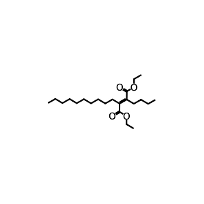 CCCCCCCCCCC(C(=O)OCC)=C(CCCC)C(=O)OCC